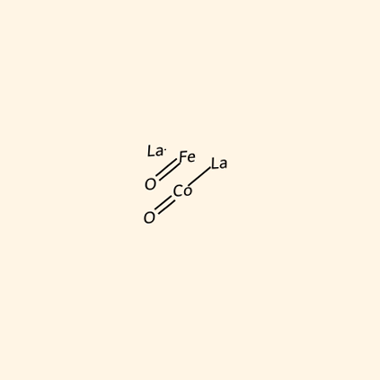 [La].[O]=[Co][La].[O]=[Fe]